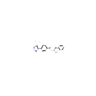 COc1cc(C(=O)N[C@H](CO)[C@H](O)c2ccccc2)ccc1-c1cn[nH]c1